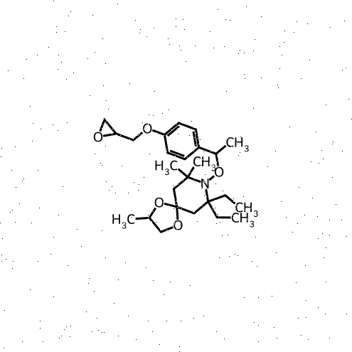 CCC1(CC)CC2(CC(C)(C)N1OC(C)c1ccc(OCC3CO3)cc1)OCC(C)O2